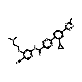 Cc1nc(-c2ccc(-c3ncc(C(=O)Nc4cc(OCCN(C)C)c(C#N)cn4)cn3)c(C3CC3)c2)no1